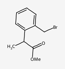 COC(=O)C(C)c1ccccc1CBr